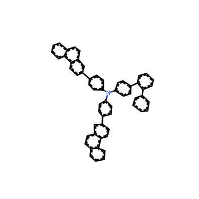 c1ccc(-c2ccccc2-c2ccc(N(c3ccc(-c4ccc5c(ccc6ccccc65)c4)cc3)c3ccc(-c4ccc5c(ccc6ccccc65)c4)cc3)cc2)cc1